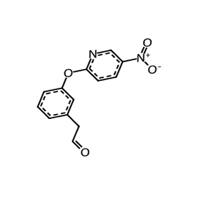 O=CCc1cccc(Oc2ccc([N+](=O)[O-])cn2)c1